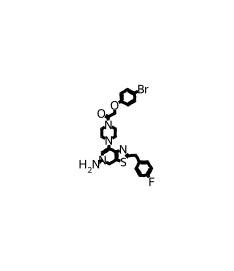 NN1C=C(N2CCN(C(=O)COc3ccc(Br)cc3)CC2)c2nc(Cc3ccc(F)cc3)sc2C1